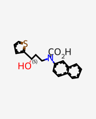 O=C(O)N(CC[C@H](O)c1cccs1)c1ccc2ccccc2c1